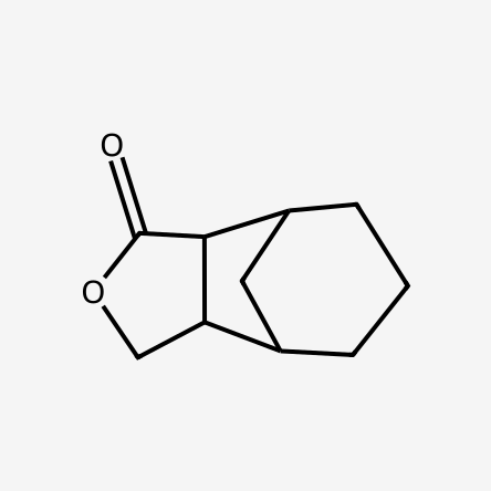 O=C1OCC2C3CCCC(C3)C12